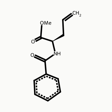 C=CC[C@@H](NC(=O)c1ccccc1)C(=O)OC